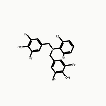 CCc1cccc(CC)c1N(Cc1cc(C(C)C)c(O)c(C(C)C)c1)Cc1cc(C(C)C)c(O)c(C(C)C)c1